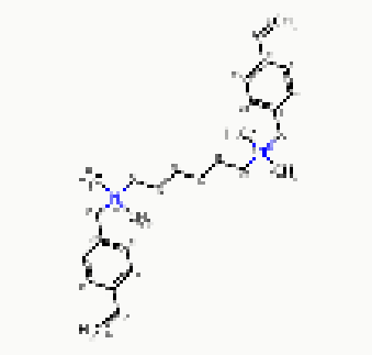 C=Cc1ccc(C[N+](C)(C)CCCCCC[N+](C)(C)Cc2ccc(C=C)cc2)cc1